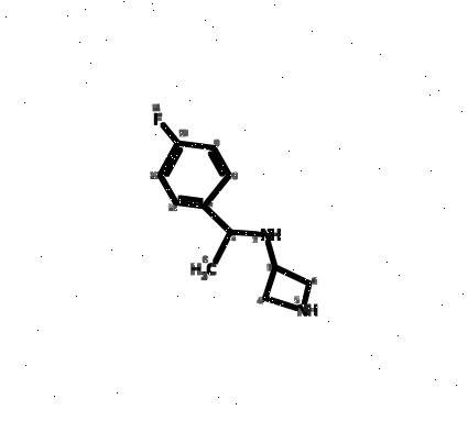 CC(NC1CNC1)c1ccc(F)cc1